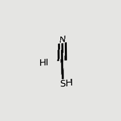 I.N#CS